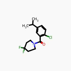 CC(C)c1ccc(Cl)c(C(=O)N2CCC(F)(F)CC2)c1